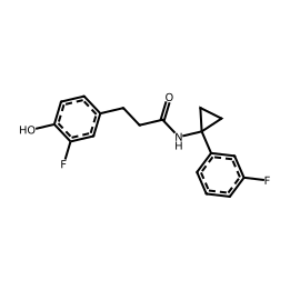 O=C(CCc1ccc(O)c(F)c1)NC1(c2cccc(F)c2)CC1